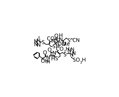 CO[C@@]1(NC(=O)CSCC#N)C(=O)N2C(C(=O)O)=C(CSc3nnnn3C)CS[C@@H]21.O=C(O)C1=C(CSc2nnnn2CS(=O)(=O)O)CS[C@@H]2[C@H](NC(=O)[C@H](O)c3ccccc3)C(=O)N12